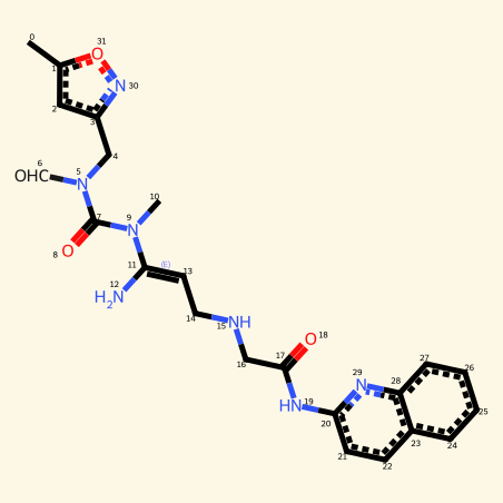 Cc1cc(CN(C=O)C(=O)N(C)/C(N)=C/CNCC(=O)Nc2ccc3ccccc3n2)no1